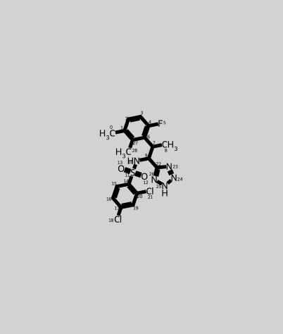 Cc1ccc(F)c(C(C)C(NS(=O)(=O)c2ccc(Cl)cc2Cl)c2nn[nH]n2)c1C